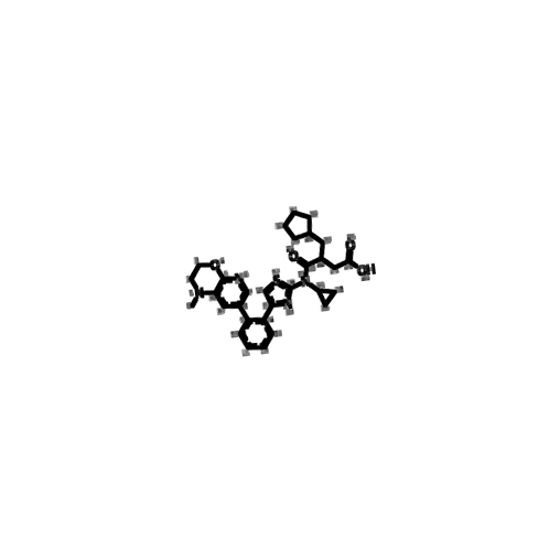 CN1CCOc2ncc(-c3ccccc3-c3csc(N(C(=O)C(CC(=O)O)CC4CCCC4)C4CC4)n3)cc21